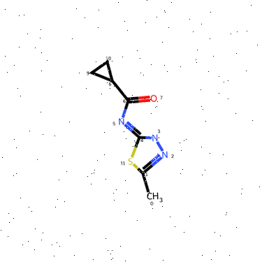 CC1=N[N]C(=NC(=O)C2CC2)S1